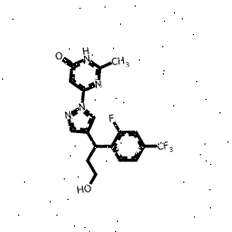 Cc1nc(-n2cc(C(CCO)c3ccc(C(F)(F)F)cc3F)cn2)cc(=O)[nH]1